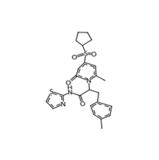 Cc1ccc(CC(C(=O)Nc2nccs2)n2c(C)cc(S(=O)(=O)C3CCCC3)cc2=O)cc1